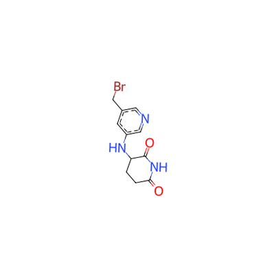 O=C1CCC(Nc2cncc(CBr)c2)C(=O)N1